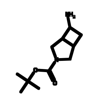 CC(C)(C)OC(=O)N1CC2CC(N)C2C1